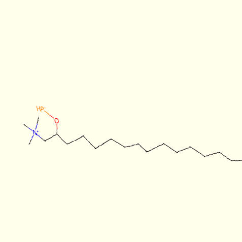 CCCCCCCCCCCCCCC(C[N+](C)(C)C)O[PH-]